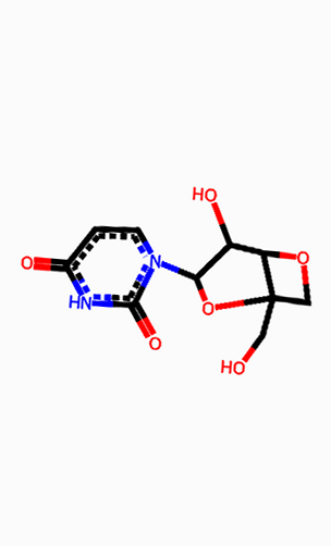 O=c1ccn(C2OC3(CO)COC3C2O)c(=O)[nH]1